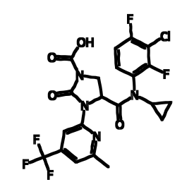 Cc1cc(C(F)(F)F)cc(N2C(=O)N(C(=O)O)CC2C(=O)N(c2ccc(F)c(Cl)c2F)C2CC2)n1